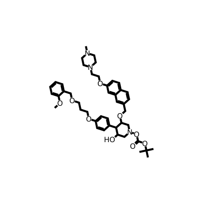 COc1ccccc1COCCCOc1ccc(C2C(O)CN(OC(=O)OC(C)(C)C)CC2OCc2ccc3ccc(OCCN4CCN(C)CC4)cc3c2)cc1